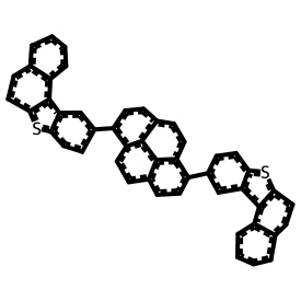 c1ccc2c(c1)ccc1sc3ccc(-c4ccc5ccc6c(-c7ccc8sc9ccc%10ccccc%10c9c8c7)ccc7ccc4c5c76)cc3c12